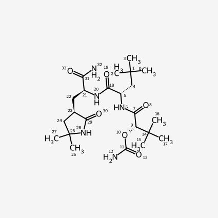 CC(C)(C)C[C@H](NC(=O)[C@@H](OC(N)=O)C(C)(C)C)C(=O)N[C@@H](C[C@@H]1CC(C)(C)NC1=O)C(N)=O